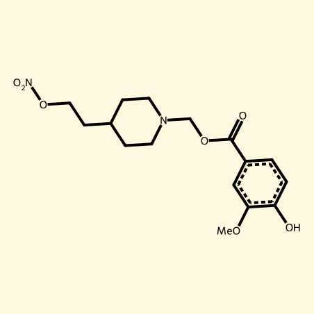 COc1cc(C(=O)OCN2CCC(CCO[N+](=O)[O-])CC2)ccc1O